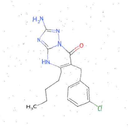 CCCCc1[nH]c2nc(N)nn2c(=O)c1Cc1cccc(Cl)c1